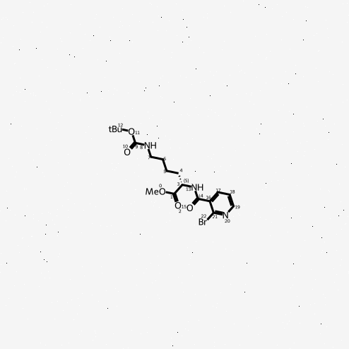 COC(=O)[C@H](CCCCNC(=O)OC(C)(C)C)NC(=O)c1cccnc1Br